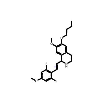 CCCCOc1cc2c(cc1OC)C(/C=C/c1c(F)cc(OC)cc1F)NCC2